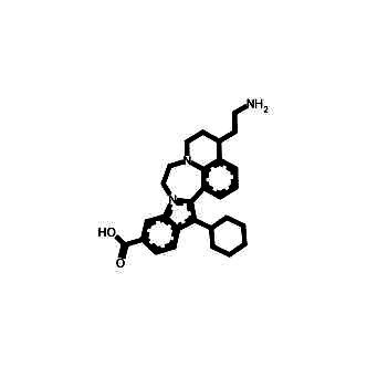 NCCC1CCN2CCn3c(c(C4CCCCC4)c4ccc(C(=O)O)cc43)-c3cccc1c32